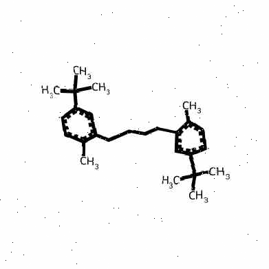 Cc1c[c]c(C(C)(C)C)cc1CCCCc1cc(C(C)(C)C)[c]cc1C